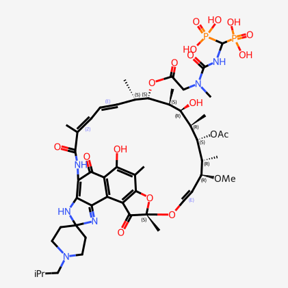 CO[C@H]1/C=C/O[C@@]2(C)Oc3c(C)c(O)c4c(c3C2=O)C2=NC3(CCN(CC(C)C)CC3)NC2=C(NC(=O)/C(C)=C\C=C\[C@H](C)[C@H](OC(=O)CN(C)C(=O)NC(P(=O)(O)O)P(=O)(O)O)[C@@H](C)[C@@H](O)[C@@H](C)[C@H](OC(C)=O)[C@@H]1C)C4=O